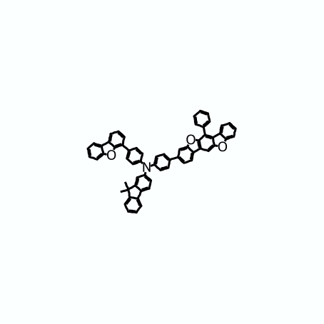 CC1(C)c2ccccc2-c2ccc(N(c3ccc(-c4ccc5c(c4)oc4c(-c6ccccc6)c6c(cc45)oc4ccccc46)cc3)c3ccc(-c4cccc5c4oc4ccccc45)cc3)cc21